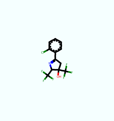 OC1(C(F)(F)F)CC(c2ccccc2Cl)=NC1C(F)(F)F